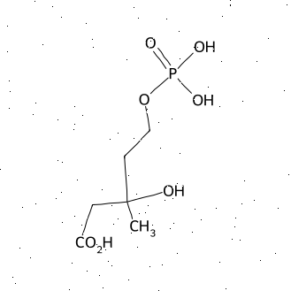 CC(O)(CCOP(=O)(O)O)CC(=O)O